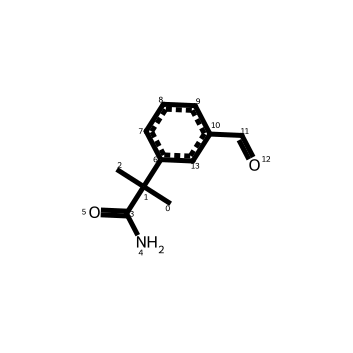 CC(C)(C(N)=O)c1cccc(C=O)c1